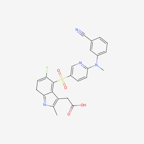 CC1=C(CC(=O)O)C2=C(S(=O)(=O)c3ccc(N(C)c4cccc(C#N)c4)nc3)C(F)=CCC2=N1